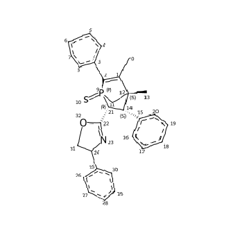 CC1=C(c2ccccc2)[P@@]2(=S)C[C@@]1(C)[C@H](c1ccccc1)[C@@H]2C1=NC(c2ccccc2)CO1